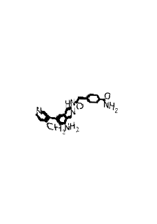 Cc1ccncc1-c1cc(N)c2cnc(NC(=O)C=C3CCC(C(N)=O)CC3)cc2c1